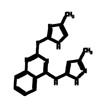 Cc1cc(Nc2nc(Sc3nc(C)c[nH]3)nc3ccccc23)[nH]n1